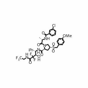 COc1ccc(CS(=O)(=O)[C@@H]2C[C@@H](C(=O)N[C@@H](C(C)C)[C@@H](O)C(F)(F)C(=O)NCC(F)(F)F)N(C(=O)[C@H](C)NC(=O)c3cccc(Cl)c3)C2)cc1